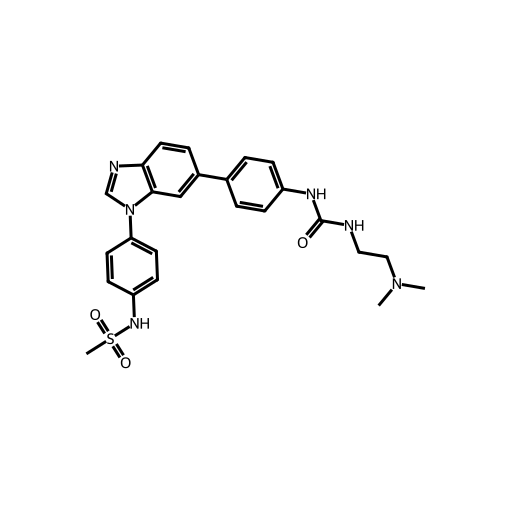 CN(C)CCNC(=O)Nc1ccc(-c2ccc3ncn(-c4ccc(NS(C)(=O)=O)cc4)c3c2)cc1